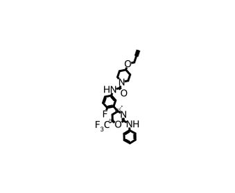 C#CCOC1CCN(C(=O)Nc2ccc(F)c([C@]3(C)C[C@@H](C(F)(F)F)OC(Nc4ccccc4)=N3)c2)CC1